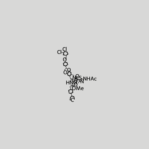 COC(=O)[C@H](Cc1ccc(-c2ccccc2)cc1)NC(=O)[C@@H]1Cc2cc3c(cc2CN1S(=O)(=O)c1sc(NC(C)=O)nc1C)OC(c1ccc(OCc2ccc(Cl)c(Cl)c2)cc1)CO3